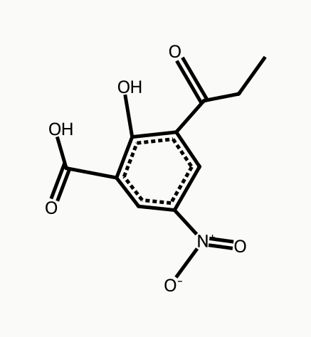 CCC(=O)c1cc([N+](=O)[O-])cc(C(=O)O)c1O